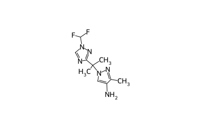 Cc1nn(C(C)(C)c2ncn(C(F)F)n2)cc1N